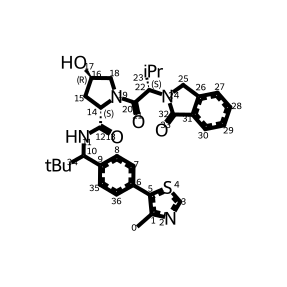 Cc1ncsc1-c1ccc(C(NC(=O)[C@@H]2C[C@@H](O)CN2C(=O)[C@H](C(C)C)N2Cc3ccccc3C2=O)C(C)(C)C)cc1